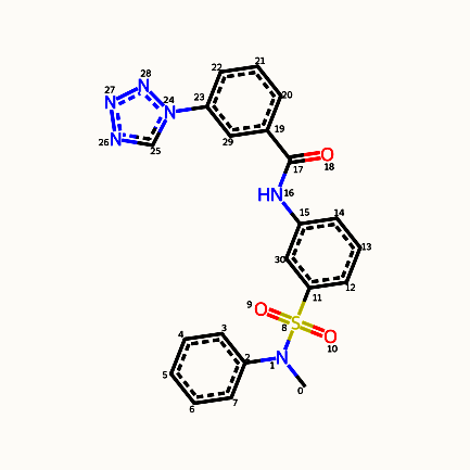 CN(c1ccccc1)S(=O)(=O)c1cccc(NC(=O)c2cccc(-n3cnnn3)c2)c1